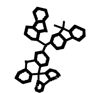 CC1(C)c2ccccc2-c2ccc(N(c3ccc4c(c3)Oc3ccccc3C43c4ccccc4-c4ccccc43)c3cccc4c3sc3ccccc34)cc21